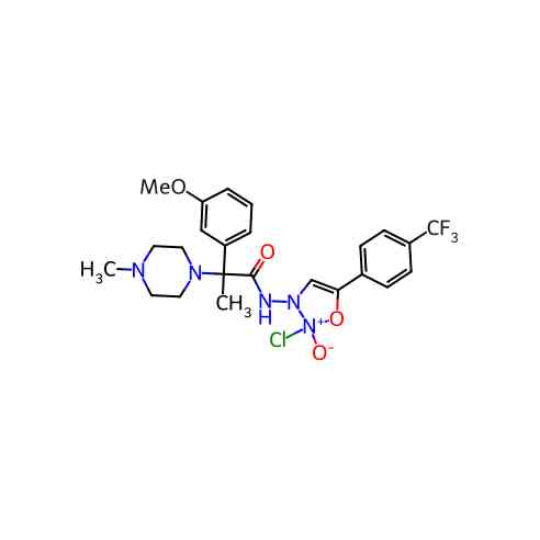 COc1cccc(C(C)(C(=O)NN2C=C(c3ccc(C(F)(F)F)cc3)O[N+]2([O-])Cl)N2CCN(C)CC2)c1